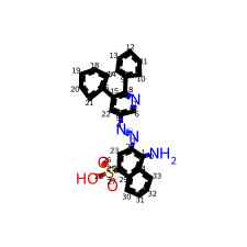 Nc1c(/N=N/c2cnc(-c3ccccc3)c(-c3ccccc3)c2)cc(S(=O)(=O)O)c2ccccc12